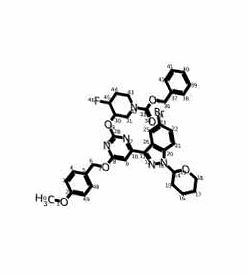 COc1ccc(COc2cc(-c3nn(C4CCCCO4)c4ccc(Br)cc34)nc(OC3CN(C(=O)OCc4ccccc4)CCC3F)n2)cc1